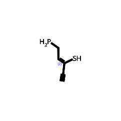 C#C/C(S)=C/CP